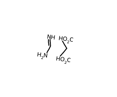 N=CN.O=C(O)CC(=O)O